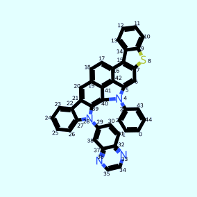 c1ccc(-n2c3cc4sc5ccccc5c4c4ccc5cc6c7ccccc7n(-c7ccc8nccnc8c7)c6c2c5c43)cc1